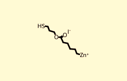 O=C(CCCC[CH2][Zn+])OCCCS.[I-]